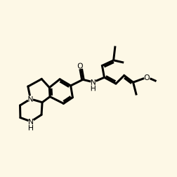 CO/C(C)=C/C=C(\C=C(C)C)NC(=O)c1ccc2c(c1)CCN1CCNCC21